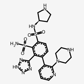 NS(=O)(=O)c1c(S(=O)(=O)N[C@@H]2CCNC2)ccc(-c2cccnc2N2CCNCC2)c1-c1nn[nH]n1